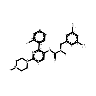 CN1CCN(c2ncc(OC(=O)N(C)Cc3cc(C(F)(F)F)cc(C(F)(F)F)c3)c(-c3ccccc3F)n2)CC1